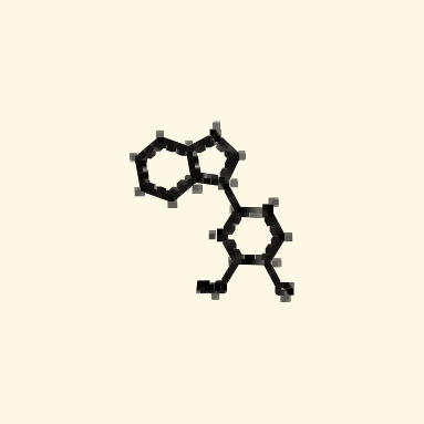 COc1nc(-n2cnc3ccccc32)ncc1C#N